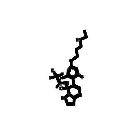 CCNCCCOc1cc(F)c(C2=CN=C3N=CNN3C2(Cl)N[C@@H](C)C(F)(F)F)c(F)c1